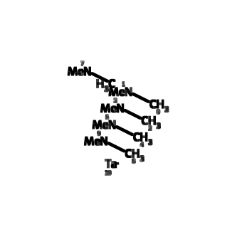 CNC.CNC.CNC.CNC.CNC.[Ta]